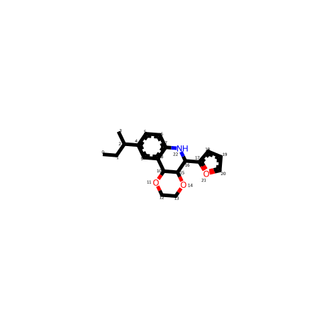 CCC(C)c1ccc2c(c1)C1OCCOC1C(c1ccco1)N2